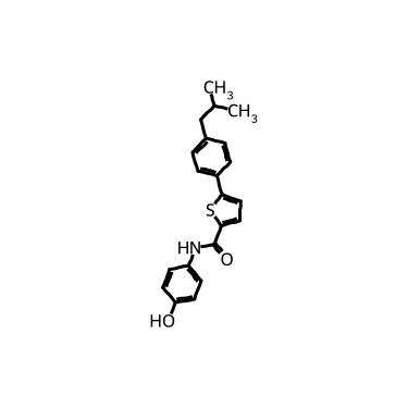 CC(C)Cc1ccc(-c2ccc(C(=O)Nc3ccc(O)cc3)s2)cc1